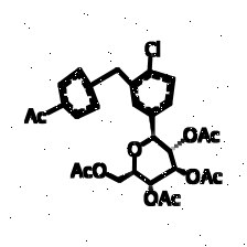 CC(=O)OC[C@H]1O[C@@H](c2ccc(Cl)c(Cc3ccc(C(C)=O)cc3)c2)[C@H](OC(C)=O)[C@@H](OC(C)=O)[C@@H]1OC(C)=O